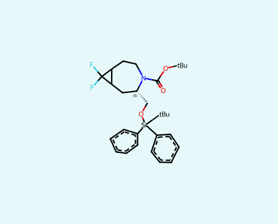 CC(C)(C)OC(=O)N1CCC2C(C[C@H]1CO[Si](c1ccccc1)(c1ccccc1)C(C)(C)C)C2(F)F